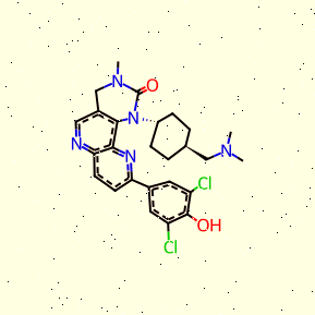 CN(C)C[C@H]1CC[C@H](N2C(=O)N(C)Cc3cnc4ccc(-c5cc(Cl)c(O)c(Cl)c5)nc4c32)CC1